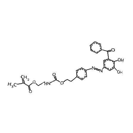 C=C(C)C(=O)OCCNC(=O)OCCc1ccc(N=Nc2cc(O)c(O)c(C(=O)c3ccccc3)c2)cc1